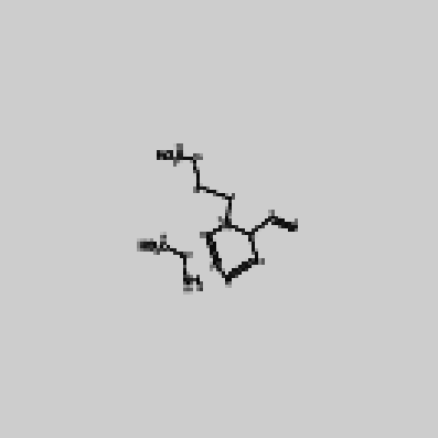 C=CC1C=CC=CN1CCCS(=O)(=O)O.NCC(=O)O